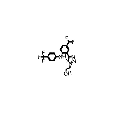 OCCn1nnc(-c2cc(C(F)F)ccc2Nc2ccc(C(F)(F)F)cc2)n1